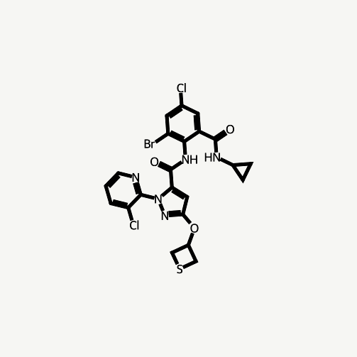 O=C(NC1CC1)c1cc(Cl)cc(Br)c1NC(=O)c1cc(OC2CSC2)nn1-c1ncccc1Cl